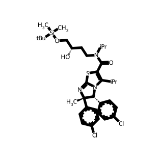 CC(C)C1=C(C(=O)N(CC[C@H](O)CO[Si](C)(C)C(C)(C)C)C(C)C)SC2=N[C@@](C)(c3ccc(Cl)cc3)[C@@H](c3ccc(Cl)cc3)N21